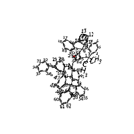 CC1(C)c2ccccc2C2(c3ccccc3-c3ccccc32)c2ccc(N(c3ccc(-c4ccccc4)cc3)c3cccc4c3-c3ccccc3C4(c3ccccc3)c3ccccc3)cc21